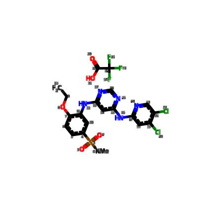 CNS(=O)(=O)c1ccc(OCC(F)(F)F)c(Nc2cc(Nc3cc(Cl)c(Cl)cn3)ncn2)c1.O=C(O)C(F)(F)F